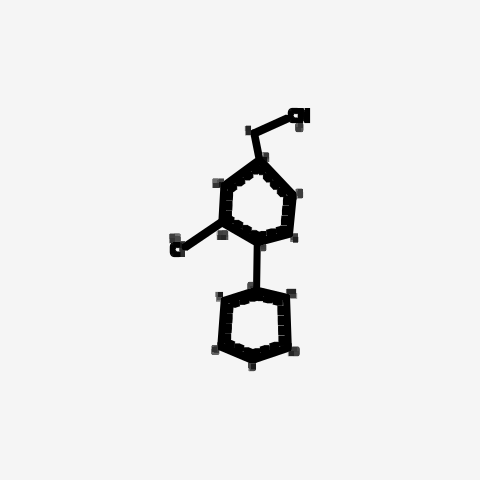 N#CCc1ccc(-c2ccccc2)c(Cl)c1